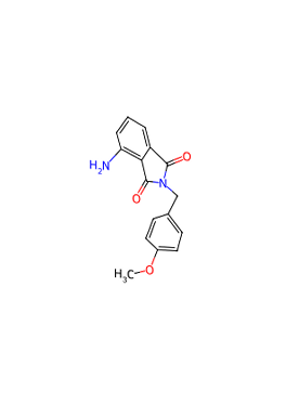 COc1ccc(CN2C(=O)c3cccc(N)c3C2=O)cc1